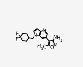 Cc1onc(N)c1-c1cnc2ccn(CC3CCC(F)(F)CC3)c2c1